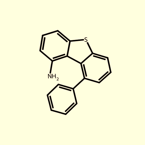 Nc1cccc2sc3cccc(-c4ccccc4)c3c12